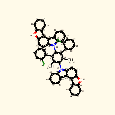 Cc1c(-c2ccccc2F)c(-n2c3ccccc3c3c4c(ccc32)oc2ccccc24)c(-c2ccccc2F)c(C)c1-n1c2ccccc2c2c3c(ccc21)oc1ccccc13